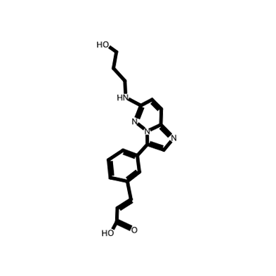 O=C(O)C=Cc1cccc(-c2cnc3ccc(NCCCO)nn23)c1